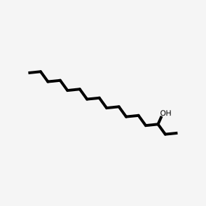 CCCCCCCCCCCCCC(O)CC